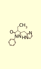 CCC1C(=O)N(c2ccccc2)N=C1Cc1ncc[nH]1